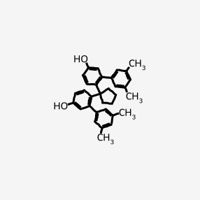 Cc1cc(C)cc(-c2cc(O)ccc2C2(c3ccc(O)cc3-c3cc(C)cc(C)c3)CCCC2)c1